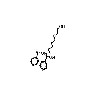 CCCCCOCCO.O=C(O)c1ccccc1.O=C(O)c1ccccc1